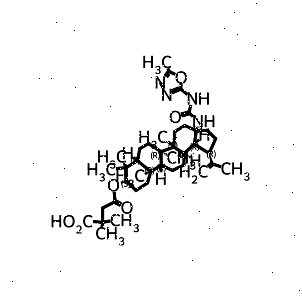 C=C(C)[C@@H]1CC[C@]2(NC(=O)Nc3nnc(C)o3)CC[C@]3(C)[C@H](CC[C@@H]4[C@@]5(C)CC[C@H](OC(=O)CC(C)(C)C(=O)O)C(C)(C)[C@@H]5CC[C@]43C)[C@@H]12